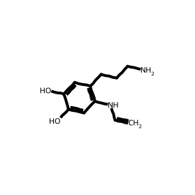 C=CNc1cc(O)c(O)cc1CCCN